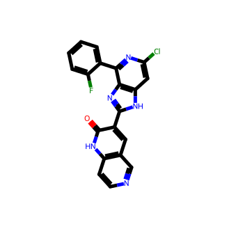 O=c1[nH]c2ccncc2cc1-c1nc2c(-c3ccccc3F)nc(Cl)cc2[nH]1